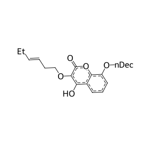 CC/C=C/CCOc1c(O)c2cccc(OCCCCCCCCCC)c2oc1=O